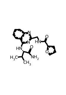 CC(C)[C@H](Nc1nc(CNC(=O)c2ccco2)nc2ccccc12)C(N)=O